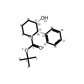 CC(C)(C)OC(=O)N1CCC[C@H](O)[C@@H]1c1ccccc1